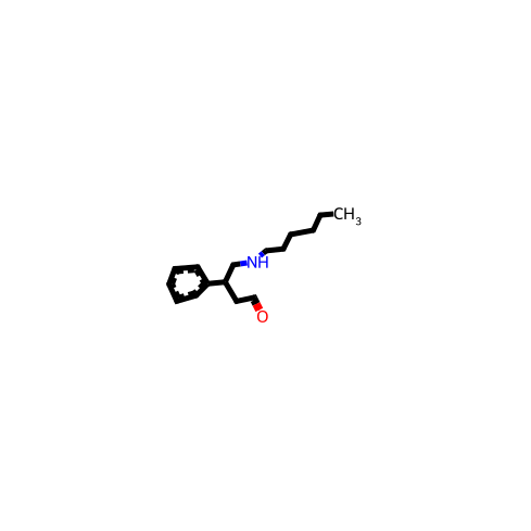 CCCCCCNCC(CC=O)c1ccccc1